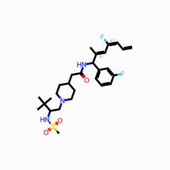 C=C/C=C(F)\C=C(/C)C(NC(=O)CC1CCN(CC(NS(C)(=O)=O)C(C)(C)C)CC1)c1cccc(F)c1